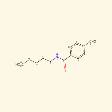 O=Cc1ccc(C(=O)NCCCCC(=O)O)cc1